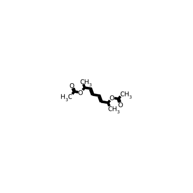 CC(=O)OC(C)/C=C/C=C/C(C)OC(C)=O